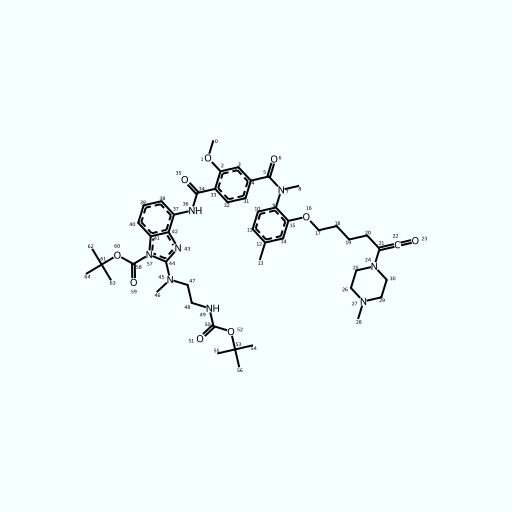 COc1cc(C(=O)N(C)c2ccc(C)cc2OCCCCC(=C=O)N2CCN(C)CC2)ccc1C(=O)Nc1cccc2c1nc(N(C)CCNC(=O)OC(C)(C)C)n2C(=O)OC(C)(C)C